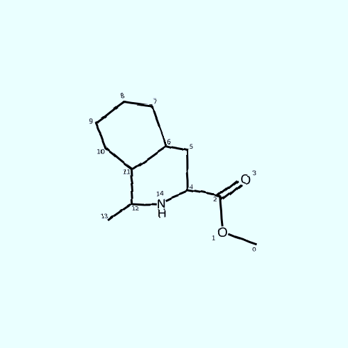 COC(=O)C1CC2CCCCC2C(C)N1